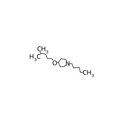 CCCCCN1CCC(OCCCC(C)C)CC1